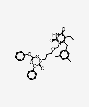 CCc1c(Cc2cc(C)cc(C)c2)n(COCCCN(OC(=O)Oc2ccccc2)C(=O)Oc2ccccc2)c(=O)[nH]c1=O